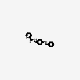 O=C(NN=C1CCC(NCc2ccccc2)CC1)c1ccccn1